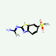 C/C(N)=N\c1nc2ccc(S(C)(=O)=O)cc2s1